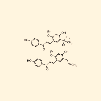 C=CCc1cc(/C=C/C(=O)c2ccc(O)cc2)c(OC(C)C)cc1O.CCC(C)(C)c1cc(/C=C/C(=O)c2ccc(O)cc2)c(OC(C)C)cc1O